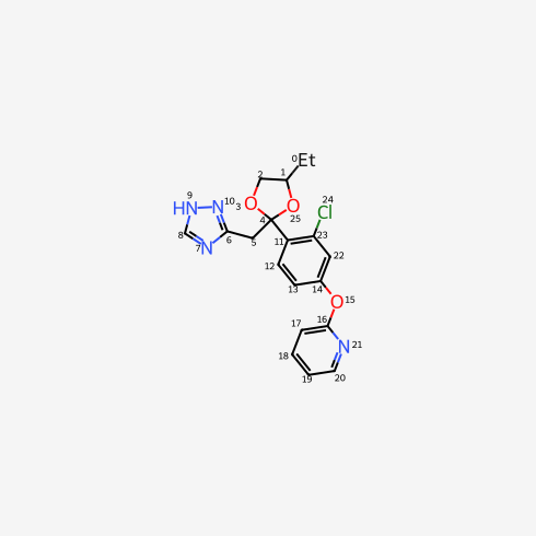 CCC1COC(Cc2nc[nH]n2)(c2ccc(Oc3ccccn3)cc2Cl)O1